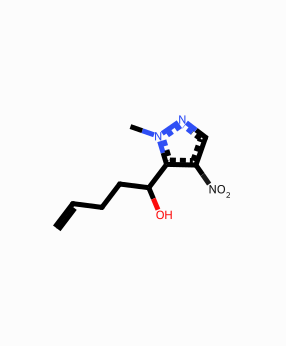 C=CCCC(O)c1c([N+](=O)[O-])cnn1C